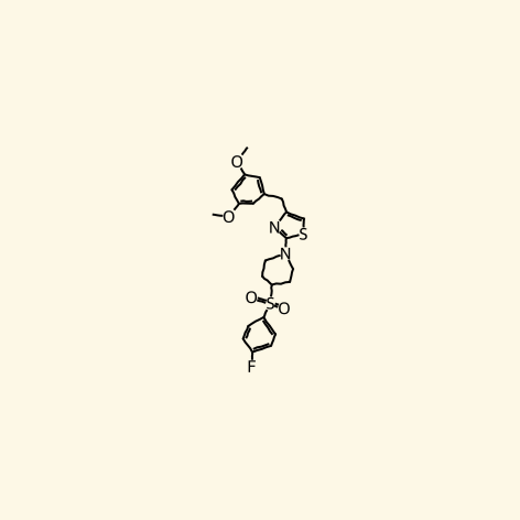 COc1cc(Cc2csc(N3CCC(S(=O)(=O)c4ccc(F)cc4)CC3)n2)cc(OC)c1